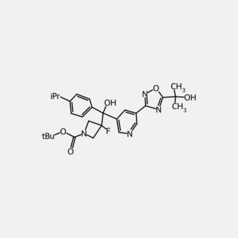 CC(C)c1ccc(C(O)(c2cncc(-c3noc(C(C)(C)O)n3)c2)C2(F)CN(C(=O)OC(C)(C)C)C2)cc1